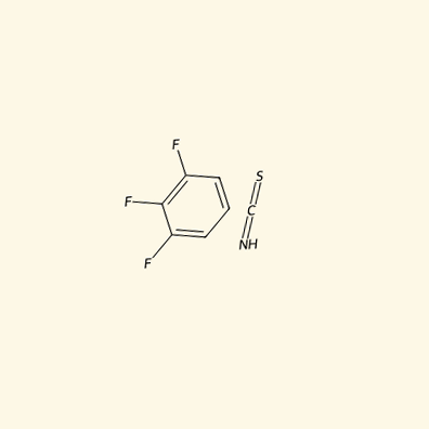 Fc1cccc(F)c1F.N=C=S